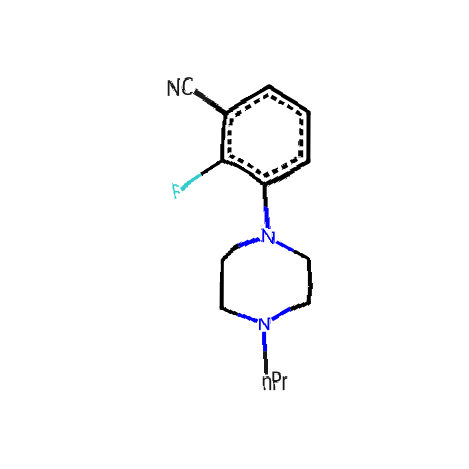 CCCN1CCN(c2cccc(C#N)c2F)CC1